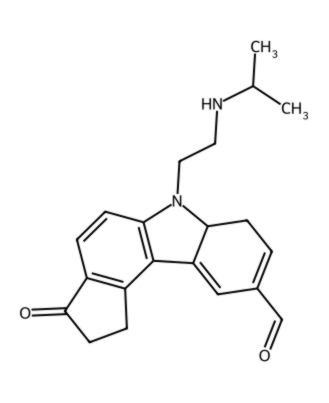 CC(C)NCCN1c2ccc3c(c2C2=CC(C=O)=CCC21)CCC3=O